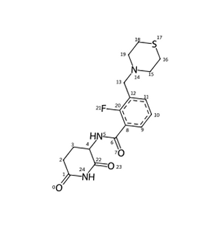 O=C1CCC(NC(=O)c2cccc(CN3CCSCC3)c2F)C(=O)N1